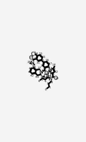 CCCCN(CCCC)C(=O)c1cc(C)n(-c2ccc(-c3ccc(Cl)c(C(=O)N(C)C)c3)cc2C(=O)N2Cc3ccccc3C[C@H]2CO)n1